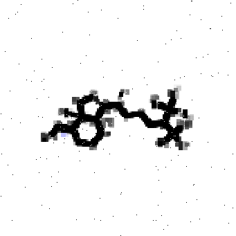 [2H]C([2H])([2H])C(CCC[C@@H](C)[C@H]1CC[C@H]2/C(=C/Br)CCC[C@]12C)C([2H])([2H])[2H]